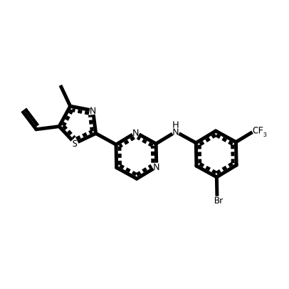 C=Cc1sc(-c2ccnc(Nc3cc(Br)cc(C(F)(F)F)c3)n2)nc1C